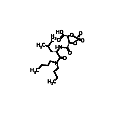 CCCCN(CCCC)C(=O)[C@H](CC(C)C)NC(=O)[C@H]1OS(=O)(=O)O[C@@H]1C(=O)O